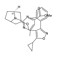 COC(=O)c1cc(C)nc(N2C3CC[C@H]2CC(OCc2c(-c4ccccc4C)noc2C2CC2)C3)n1